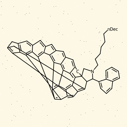 CCCCCCCCCCCCCCCCN1CC23Cc4cc5cc6cc7cc8cc9c%10c%11c%12c(c%13c2c4c2c5c4c6c7c5c8c%10c6c%12c%13c2c4c56)=C(CC=%11C9)C3C1c1cccc2ccccc12